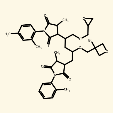 CCC1(COC(CC(COCC2CO2)C2C(=O)N(c3ccc(C)cc3C)C(=O)C2C)CC2C(=O)N(c3ccccc3C)C(=O)C2C)COC1